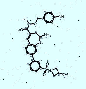 CCCN(OCc1ccc(N)cc1)C(=O)C1=Cc2ccc(-c3cccc(S(=O)(=O)N4CC(O)C4)c3)cc2N=C(N)C1